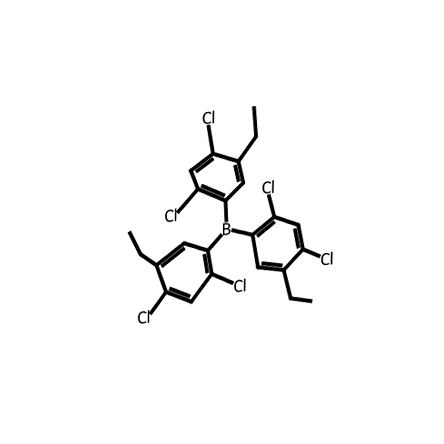 CCc1cc(B(c2cc(CC)c(Cl)cc2Cl)c2cc(CC)c(Cl)cc2Cl)c(Cl)cc1Cl